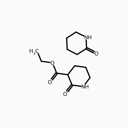 CCOC(=O)C1CCCNC1=O.O=C1CCCCN1